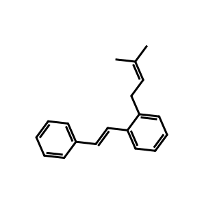 CC(C)=CCc1ccccc1C=Cc1ccccc1